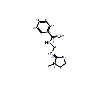 CN1CCS/C1=N\CNC(=O)c1ccccc1